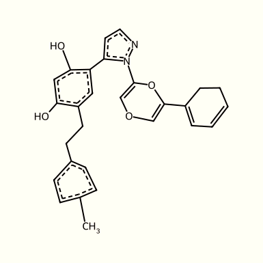 Cc1ccc(CCc2cc(-c3ccnn3C3=COC=C(C4=CC=CCC4)O3)c(O)cc2O)cc1